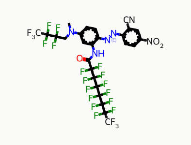 CN(CC(F)(F)C(F)(F)C(F)(F)F)c1ccc(/N=N/c2ccc([N+](=O)[O-])cc2C#N)c(NC(=O)C(F)(F)C(F)(F)C(F)(F)C(F)(F)C(F)(F)C(F)(F)C(F)(F)F)c1